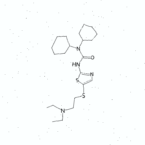 CCN(CC)CCSc1cnc(NC(=O)N(C2CCCCC2)C2CCCCC2)s1